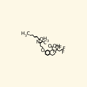 CCC/C=C/c1nc(CCOc2ccc3c(c2)C(C(=O)O)N(C(=O)CC(F)(F)F)CC3)c(C)o1